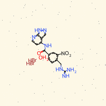 Br.Br.N=C(N)NCc1ccc(C(=O)Nc2ccnc3[nH]ncc23)cc1[N+](=O)[O-].O